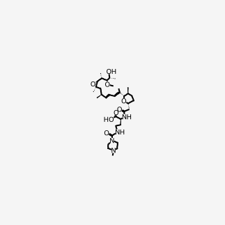 CO[C@H]([C@@H](C)[C@H]1O[C@]1(C)C[C@H](C)/C=C/C=C(\C)[C@H]1O[C@@H](CC(=O)N[C@@H](CCNC(=O)N2CCN(C)CC2)C(=O)O)CC[C@@H]1C)[C@@H](C)O